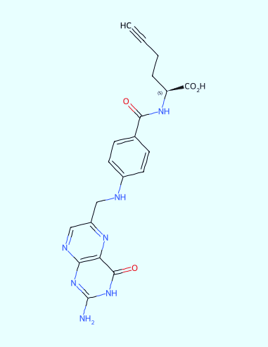 C#CCC[C@H](NC(=O)c1ccc(NCc2cnc3nc(N)[nH]c(=O)c3n2)cc1)C(=O)O